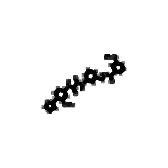 COc1cccc(C(=O)NCc2cccc(NC(=O)C(=O)Nc3ccc(-c4cnco4)c(OC)c3)c2)c1